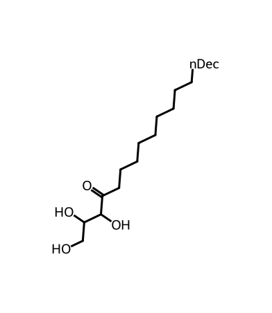 CCCCCCCCCCCCCCCCCCCC(=O)C(O)C(O)CO